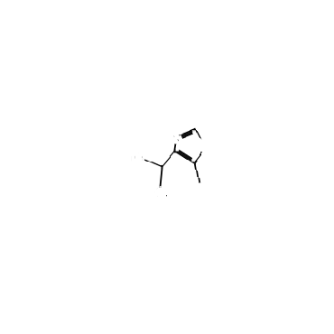 Cc1scnc1C(O)O